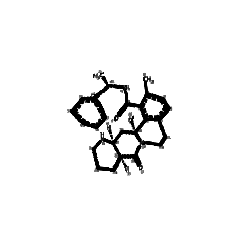 Cc1ccc2c(c1C(=O)N[C@H](C)c1ccccc1)[C@@H]1C[C@@H]3NCCC[C@@H]3C(=O)N1CC2